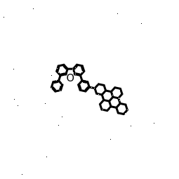 c1ccc(-c2cccc3c2oc2c(-c4cccc(C5CCC6C(C5)C5CCCC7C8CCCCC8C8CCCC6C8C75)c4)cccc23)cc1